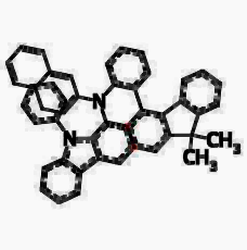 CC1(C)c2ccccc2-c2c(-c3ccccc3N(C3=CCC4C=CC=CC4=C3)c3cccc4c5ccccc5n(-c5ccccc5)c34)cccc21